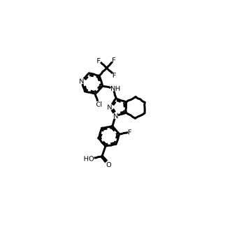 O=C(O)c1ccc(-n2nc(Nc3c(Cl)cncc3C(F)(F)F)c3c2CCCC3)c(F)c1